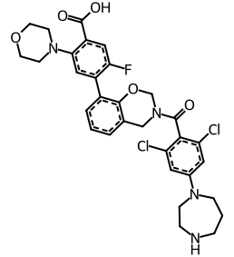 O=C(O)c1cc(F)c(-c2cccc3c2OCN(C(=O)c2c(Cl)cc(N4CCCNCC4)cc2Cl)C3)cc1N1CCOCC1